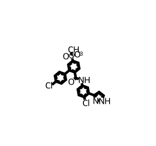 CS(=O)(=O)c1ccc(C(=O)Nc2ccc(Cl)c(-c3cc[nH]n3)c2)c(-c2ccc(Cl)cc2)c1